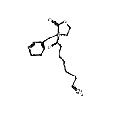 C=CCCCCCC(=O)[N+]1(Cc2ccccc2)CCOC1=O